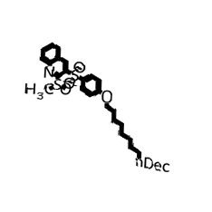 CCCCCCCCCCCCCCCCCCOc1ccc(S(=O)(=O)c2cc3ccccc3nc2[S+](C)[O-])cc1